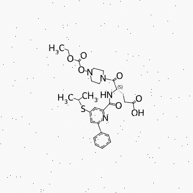 CCOC(=O)ON1CCN(C(=O)[C@H](CCC(=O)O)NC(=O)c2cc(SC(C)C)cc(-c3ccccc3)n2)CC1